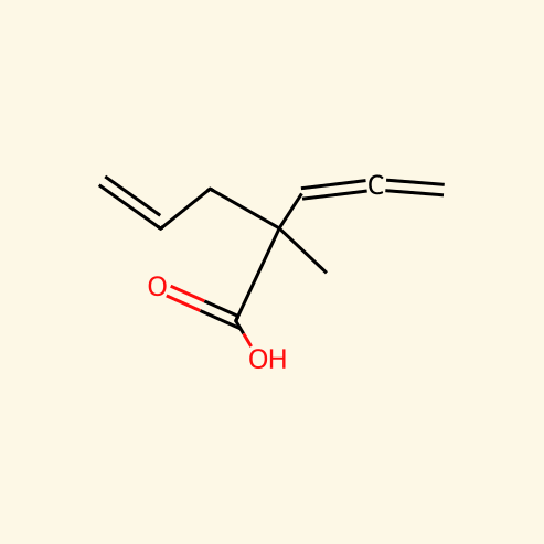 C=C=CC(C)(CC=C)C(=O)O